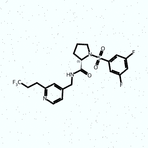 O=C(NCc1ccnc(CCC(F)(F)F)c1)[C@@H]1CCCN1S(=O)(=O)c1cc(F)cc(F)c1